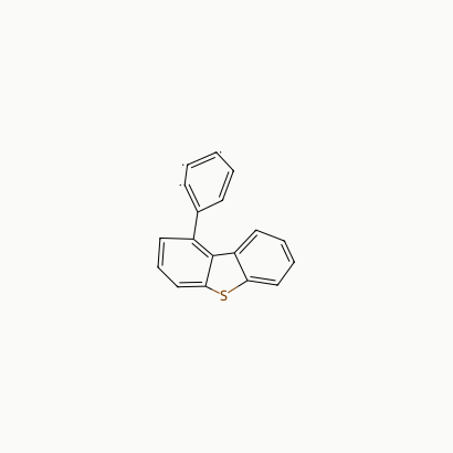 [c]1[c]ccc(-c2cccc3sc4ccccc4c23)[c]1